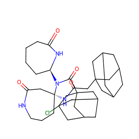 O=C1C[C@@](NC(=O)CC23CC4CC(CC(C4)C2)C3)(N(C(=O)C23CC4CC(CC(Cl)(C4)C2)C3)[C@H]2CCCCC(=O)N2)CCCN1